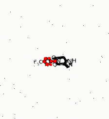 O=S(=O)(c1ccc(C(F)(F)F)nc1)N1C2Cc3[nH]ncc3C1CC(c1ccccc1)C2